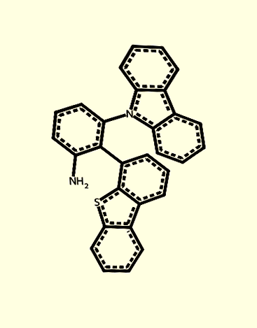 Nc1cccc(-n2c3ccccc3c3ccccc32)c1-c1cccc2c1sc1ccccc12